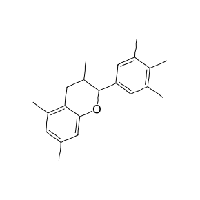 Cc1cc(C)c2c(c1)OC(c1cc(C)c(C)c(C)c1)C(C)C2